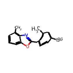 Cc1cc(C(C)(C)C)ccc1-c1nc2c(C)cccc2o1